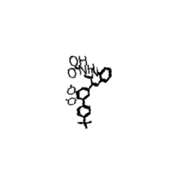 COc1cc(-c2cc3ccccc3nc2CNC(=O)O)cc(-c2ccc(C(C)(C)C)cc2)c1OC